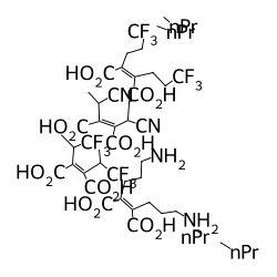 CC(/C(C(=O)O)=C(/C(=O)O)C(C)C(F)(F)F)C(F)(F)F.CC(C#N)/C(C(=O)O)=C(/C(=O)O)C(C)C#N.CCCC.CCCC.CCCC.CCCC.NCCC/C(C(=O)O)=C(\CCCN)C(=O)O.O=C(O)/C(CCC(F)(F)F)=C(/CCC(F)(F)F)C(=O)O